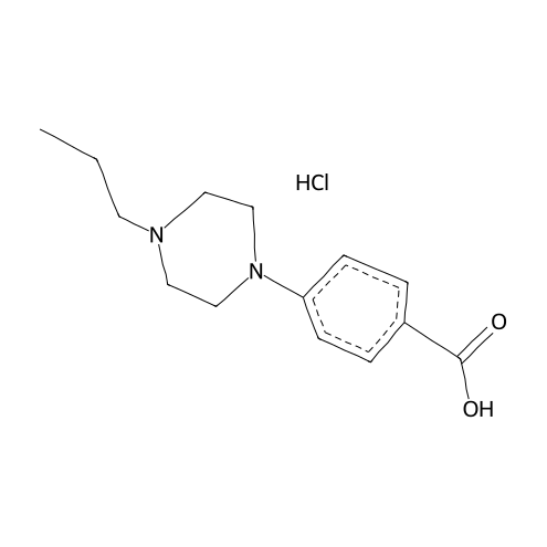 CCCN1CCN(c2ccc(C(=O)O)cc2)CC1.Cl